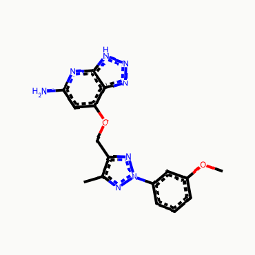 COc1cccc(-n2nc(C)c(COc3cc(N)nc4[nH]nnc34)n2)c1